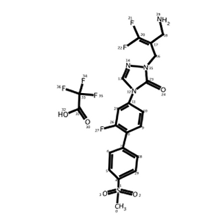 CS(=O)(=O)c1ccc(-c2ccc(-n3cnn(CC(CN)=C(F)F)c3=O)cc2F)cc1.O=C(O)C(F)(F)F